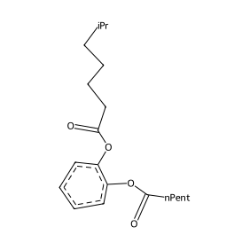 CCCCCC(=O)Oc1ccccc1OC(=O)CCCCC(C)C